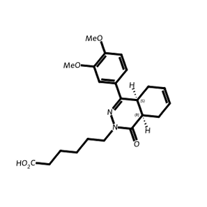 COc1ccc(C2=NN(CCCCCC(=O)O)C(=O)[C@@H]3CC=CC[C@H]23)cc1OC